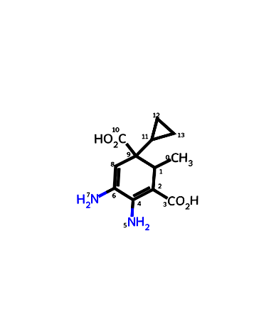 CC1C(C(=O)O)=C(N)C(N)=CC1(C(=O)O)C1CC1